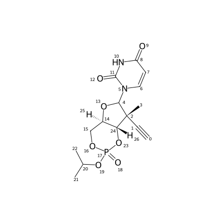 C#C[C@@]1(C)C(n2ccc(=O)[nH]c2=O)O[C@@H]2COP(=O)(OC(C)C)O[C@H]21